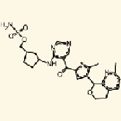 Cc1ccc2c(n1)C(c1cc(C(=O)c3cncnc3N[C@H]3CC[C@@H](COS(N)(=O)=O)C3)sc1C)OCC2